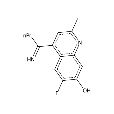 CCCC(=N)c1cc(C)nc2cc(O)c(F)cc12